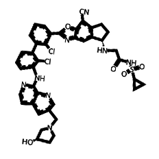 N#Cc1c2c(cc3nc(-c4cccc(-c5cccc(Nc6nccc7cc(CN8CC[C@@H](O)C8)cnc67)c5Cl)c4Cl)oc13)[C@@H](NCC(=O)NS(=O)(=O)C1CC1)CC2